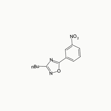 CCCCc1noc(-c2cccc([N+](=O)[O-])c2)n1